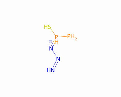 N=N/N=[PH](\P)S